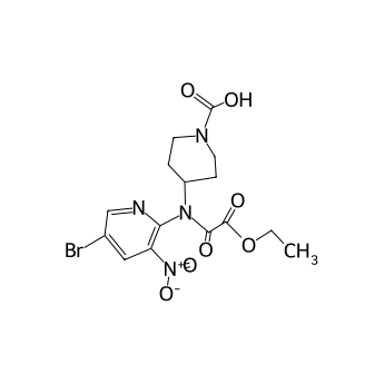 CCOC(=O)C(=O)N(c1ncc(Br)cc1[N+](=O)[O-])C1CCN(C(=O)O)CC1